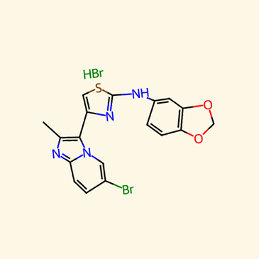 Br.Cc1nc2ccc(Br)cn2c1-c1csc(Nc2ccc3c(c2)OCO3)n1